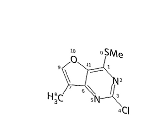 CSc1nc(Cl)nc2c(C)coc12